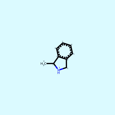 CC1NCc2ccccc21